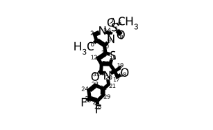 Cc1cnc(S(C)(=O)=O)nc1-c1cc2c(s1)C1(COC1)N(Cc1ccc(F)c(F)c1)C2=O